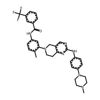 Cc1ccc(NC(=O)c2cccc(C(F)(F)F)c2)cc1N1CCc2nc(Nc3ccc(N4CCN(C)CC4)cc3)ncc2C1